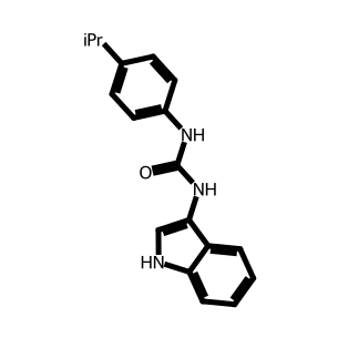 CC(C)c1ccc(NC(=O)Nc2c[nH]c3ccccc23)cc1